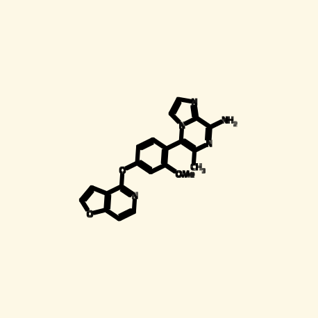 COc1cc(Oc2nccc3occc23)ccc1-c1c(C)nc(N)c2nccn12